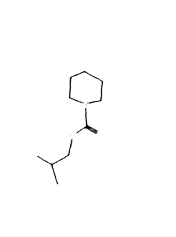 CC(C)COC(=O)N1CC[CH]CC1